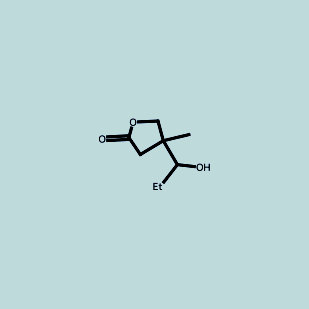 CCC(O)C1(C)COC(=O)C1